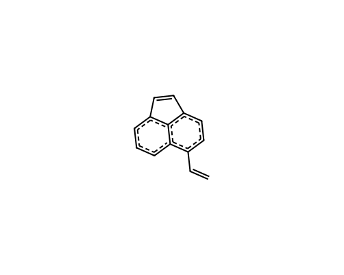 C=Cc1ccc2c3c(cccc13)C=C2